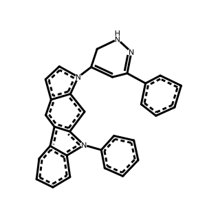 C1=C(n2ccc3cc4c5ccccc5n(-c5ccccc5)c4cc32)CNN=C1c1ccccc1